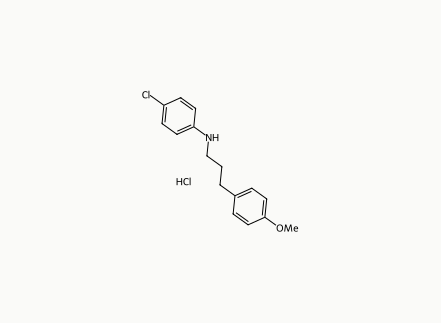 COc1ccc(CCCNc2ccc(Cl)cc2)cc1.Cl